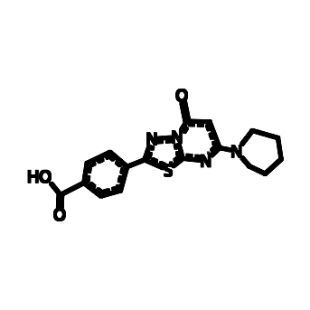 O=C(O)c1ccc(-c2nn3c(=O)cc(N4CCCCC4)nc3s2)cc1